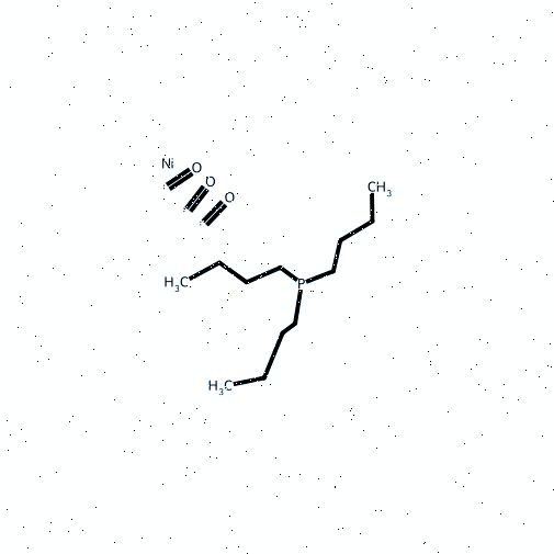 CCCCP(CCCC)CCCC.[C]=O.[C]=O.[C]=O.[Ni]